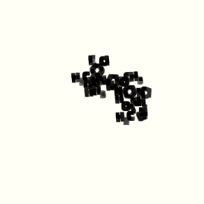 C=CC(=O)Nc1cc(Nc2nccc(Nc3cc(Cl)c(F)cc3C(C)(C)O)n2)c(OC)cc1N1CCC[C@@H]1CCN1CCC1